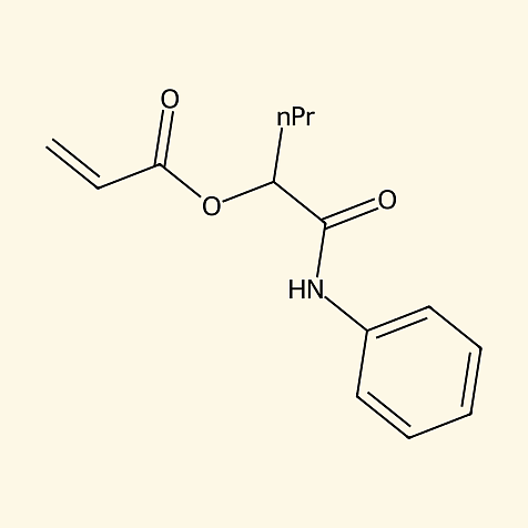 C=CC(=O)OC(CCC)C(=O)Nc1ccccc1